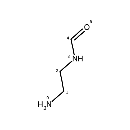 NCCNC=O